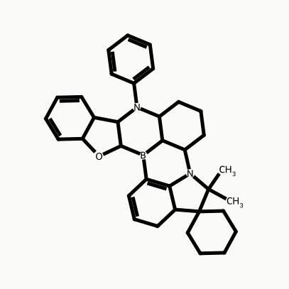 CC1(C)N2C3=C(C=CCC3C13CCCCC3)B1C3OC4C=CC=CC4C3N(c3ccccc3)C3CCCC2C13